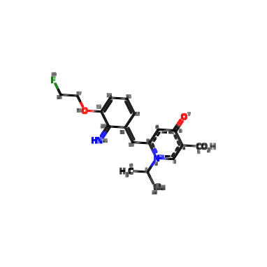 CC(n1cc(C(=O)O)c(=O)cc1/C=C1\C=CC=C(OCCF)C1=N)C(C)(C)C